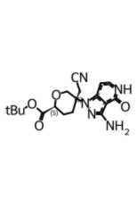 CC(C)(C)OC(=O)[C@@H]1CC[C@@](CC#N)(n2nc(N)c3c(=O)[nH]ccc32)CO1